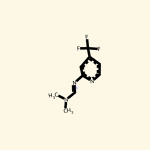 CN(C)/C=N/c1cc(C(F)(F)F)ccn1